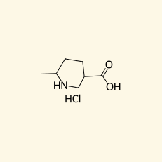 CC1CCC(C(=O)O)CN1.Cl